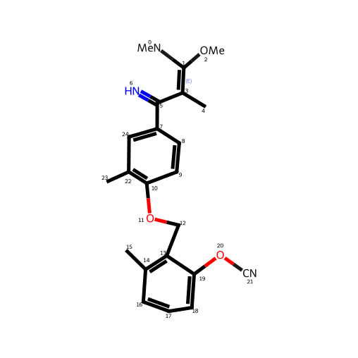 CN/C(OC)=C(/C)C(=N)c1ccc(OCc2c(C)cccc2OC#N)c(C)c1